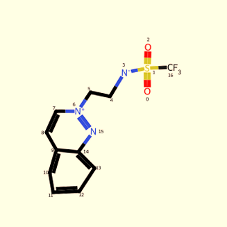 O=S(=O)([N-]CC[n+]1ccc2ccccc2n1)C(F)(F)F